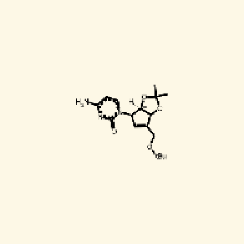 CC(C)(C)OCC1=CC(n2ccc(N)nc2=O)[C@H]2OC(C)(C)OC12